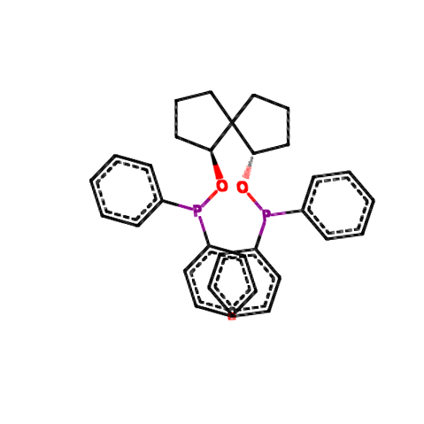 c1ccc(P(O[C@H]2CCCC23CCC[C@@H]3OP(c2ccccc2)c2ccccc2)c2ccccc2)cc1